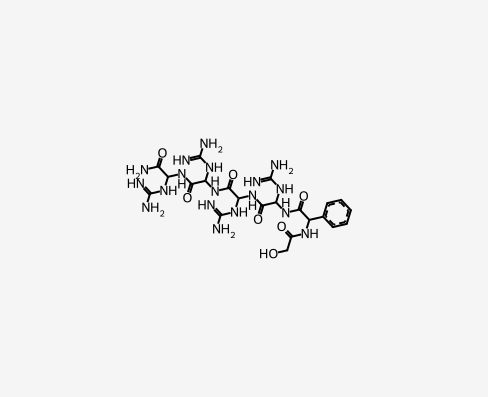 N=C(N)NC(NC(=O)C(NC(=N)N)NC(=O)C(NC(=N)N)NC(=O)C(NC(=N)N)NC(=O)C(NC(=O)CO)c1ccccc1)C(N)=O